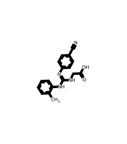 Cc1ccccc1NC(=Nc1ccc(C#N)cc1)NCC(=O)O